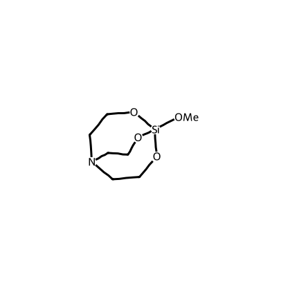 CO[Si]12OCCN(CCO1)CCO2